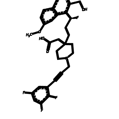 COc1ccc2ncc(CO)c([C@@H](F)CCC3(CC(=O)O)CCN(CC#Cc4cc(F)cc(F)c4F)CC3)c2c1